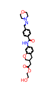 O=C(CC1COc2cc(NC(=O)c3ccc(C=NN4CCOCC4)cc3)ccc2C1)OCCO